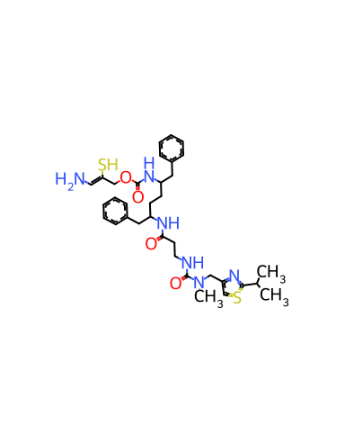 CC(C)c1nc(CN(C)C(=O)NCCC(=O)NC(CCC(Cc2ccccc2)NC(=O)OC/C(S)=C/N)Cc2ccccc2)cs1